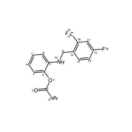 CCCC(=O)Oc1ccccc1NCc1ccc(F)cc1C(F)(F)F